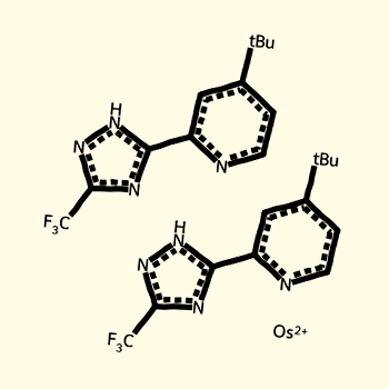 CC(C)(C)c1ccnc(-c2nc(C(F)(F)F)n[nH]2)c1.CC(C)(C)c1ccnc(-c2nc(C(F)(F)F)n[nH]2)c1.[Os+2]